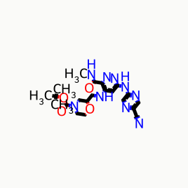 CNC(=O)c1nnc(Nc2cnc(C#N)cn2)cc1NCC1CN(C(=O)OC(C)(C)C)CCO1